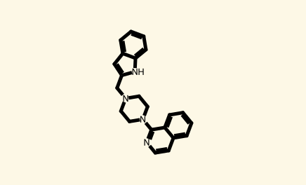 c1ccc2[nH]c(CN3CCN(c4nccc5ccccc45)CC3)cc2c1